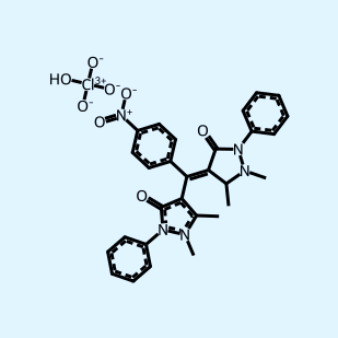 Cc1c(C(=C2C(=O)N(c3ccccc3)N(C)C2C)c2ccc([N+](=O)[O-])cc2)c(=O)n(-c2ccccc2)n1C.[O-][Cl+3]([O-])([O-])O